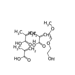 C=C(C)C(=O)O.C=C(C)C(=O)O.C=C(C)C(=O)O.COCCOCCO